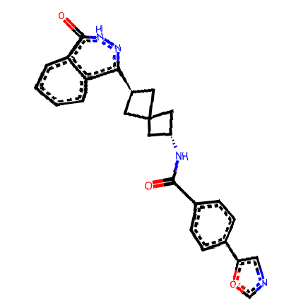 O=C(N[C@H]1CC2(C1)C[C@H](c1n[nH]c(=O)c3ccccc31)C2)c1ccc(-c2cnco2)cc1